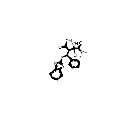 CC(C)(C(=O)O)C(C(=O)O)C(Sc1nc2ccccc2s1)c1ccccc1